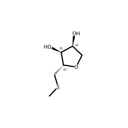 CSC[C@H]1O[CH][C@H](O)[C@@H]1O